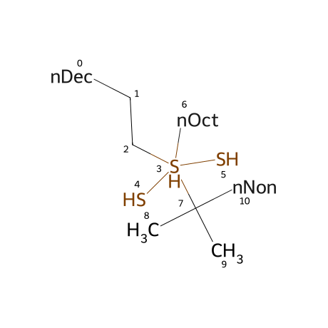 CCCCCCCCCCCC[SH](S)(S)(CCCCCCCC)C(C)(C)CCCCCCCCC